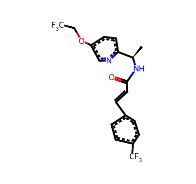 C[C@@H](NC(=O)C=Cc1ccc(C(F)(F)F)cc1)c1ccc(OCC(F)(F)F)cn1